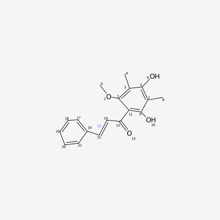 COc1c(C)c(O)c(C)c(O)c1C(=O)/C=C/c1ccccc1